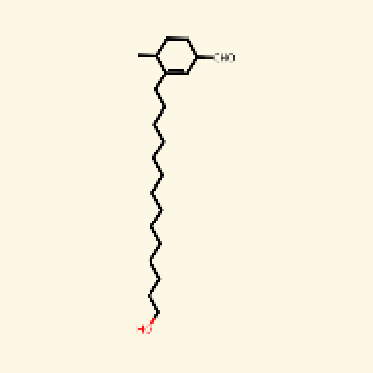 CC1CCC(C=O)C=C1CCCCCCCCCCCCCCO